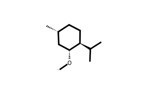 [CH2]O[C@@H]1C[C@H](C)CC[C@H]1C(C)C